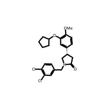 COc1ccc([C@@H]2CC(=O)N(Cc3ccc(Cl)c(Cl)c3)C2)cc1OC1CCCC1